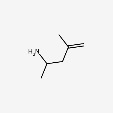 C=C(C)CC(C)N